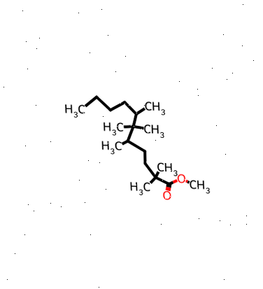 CCCCC(C)C(C)(C)C(C)CCC(C)(C)C(=O)OC